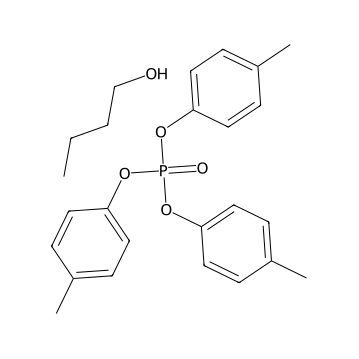 CCCCO.Cc1ccc(OP(=O)(Oc2ccc(C)cc2)Oc2ccc(C)cc2)cc1